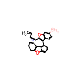 Bc1ccc2c(-c3cccc4oc5c(c34)C=CCC5)c(/C=C\C=C)oc2c1